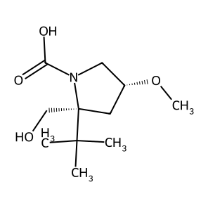 CO[C@H]1CN(C(=O)O)[C@](CO)(C(C)(C)C)C1